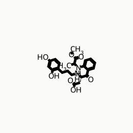 COC(=O)C(C)Nc1ccccc1C(=O)[C@H](CC(=O)O)NCCCc1ccc(O)cc1O